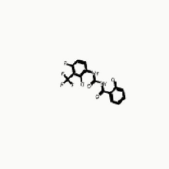 O=C(NC(=O)c1ccccc1Cl)Nc1ccc(F)c(C(F)(F)F)c1Cl